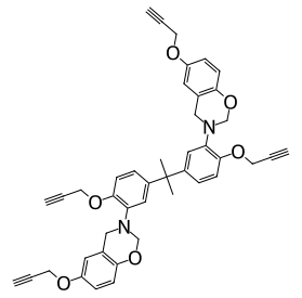 C#CCOc1ccc2c(c1)CN(c1cc(C(C)(C)c3ccc(OCC#C)c(N4COc5ccc(OCC#C)cc5C4)c3)ccc1OCC#C)CO2